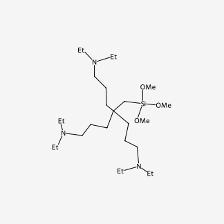 CCN(CC)CCCC(CCCN(CC)CC)(CCCN(CC)CC)C[Si](OC)(OC)OC